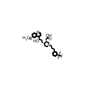 COc1ccc2nccc(C(O)CC[C@@H]3CCN(CCCc4cccc(C(F)(F)F)c4)C[C@@H]3CC(=O)O)c2c1